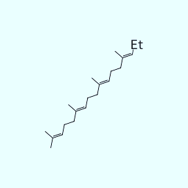 CC/C=C(\C)CC/C=C(\C)CC/C=C(\C)CCC=C(C)C